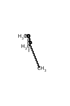 CCCCCCCCCCCCCCCCCCC(C)C1CCC(OCc2ccc[n+](C)c2)O1.[I-]